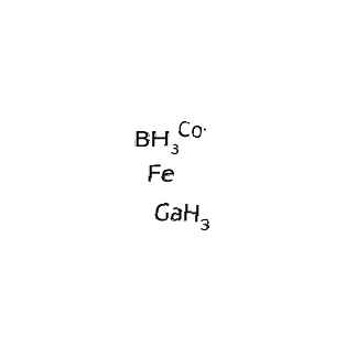 B.[Co].[Fe].[GaH3]